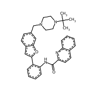 CC(C)(C)N1CCN(Cc2ccc3cc(-c4ccccc4NC(=O)c4ccc5ccccc5n4)oc3c2)CC1